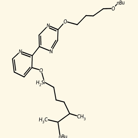 CCCCOCCCCOc1cnc(-c2ncccc2O[SiH2]CCCC(C)C(C)CCCC)cn1